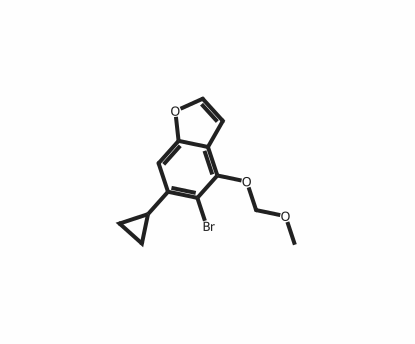 COCOc1c(Br)c(C2CC2)cc2occc12